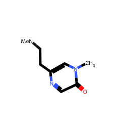 CNCCc1cn(C)c(=O)cn1